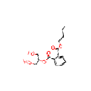 CCCCOC(=O)c1ccccc1C(=O)OC(CO)CO